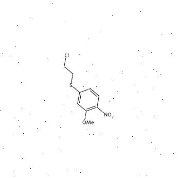 COc1cc(SCCCl)ccc1[N+](=O)[O-]